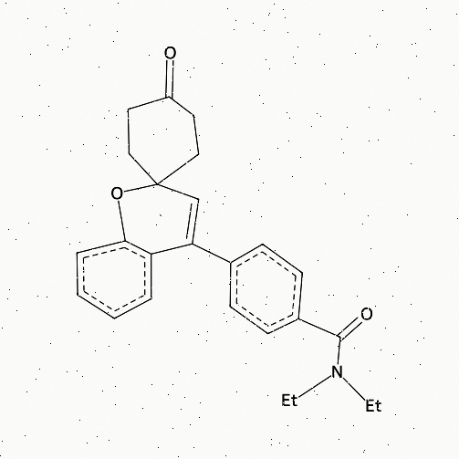 CCN(CC)C(=O)c1ccc(C2=CC3(CCC(=O)CC3)Oc3ccccc32)cc1